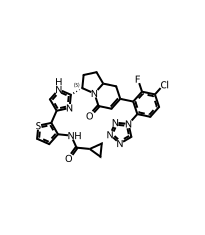 O=C(Nc1ccsc1-c1c[nH]c([C@@H]2CCC3CC(c4c(-n5cnnn5)ccc(Cl)c4F)=CC(=O)N32)n1)C1CC1